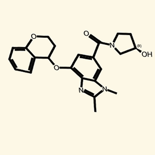 Cc1nc2c(OC3CCOc4ccccc43)cc(C(=O)N3CC[C@@H](O)C3)cc2n1C